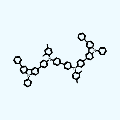 Cc1ccc(N(c2ccc(-c3ccc(N(c4ccc(-c5ccc6c(c5)c5cc(-c7ccccc7)ccc5n6-c5ccccc5)cc4)c4ccc(C)cc4C)cc3)cc2)c2ccc(-c3ccc4c(c3)c3cc(-c5ccccc5)ccc3n4-c3ccccc3)cc2)c(C)c1